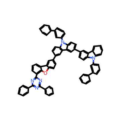 c1ccc(-c2cccc(-n3c4ccccc4c4cc(-c5ccc6c(c5)c5cc(-c7ccc8oc9c(-c%10nc(-c%11ccccc%11)nc(-c%11ccccc%11)n%10)cccc9c8c7)ccc5n6-c5cccc(-c6ccccc6)c5)ccc43)c2)cc1